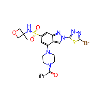 CC(C)C(=O)N1CCN(c2cc(S(=O)(=O)NC3(C)COC3)cc3nn(-c4nnc(Br)s4)cc23)CC1